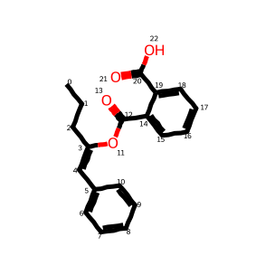 CCCC(=Cc1ccccc1)OC(=O)c1ccccc1C(=O)O